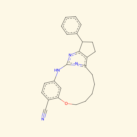 N#Cc1ccc2cc1OCCCCCc1nc(nc3c1CCC3c1ccccc1)N2